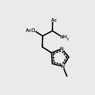 CC(=O)OC(Cc1cn(C)cn1)C(N)C(C)=O